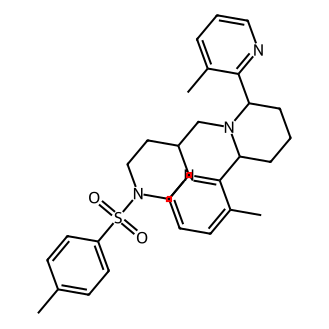 Cc1ccc(S(=O)(=O)N2CCC(CN3C(c4ncccc4C)CCCC3c3ncccc3C)CC2)cc1